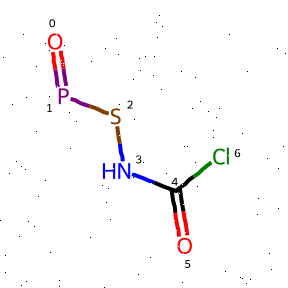 O=PSNC(=O)Cl